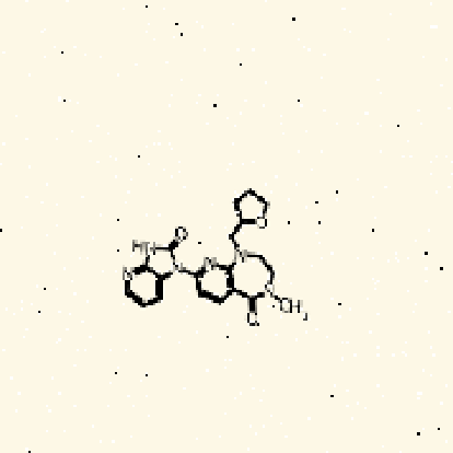 CN1CCN(CC2CCCO2)c2nc(-n3c(=O)[nH]c4ncccc43)ccc2C1=O